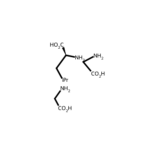 CC(C)C[C@H](N)C(=O)O.NCC(=O)O.NCC(=O)O